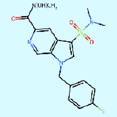 CN(O)C(=O)c1cc2c(S(=O)(=O)N(C)C)cn(Cc3ccc(F)cc3)c2cn1